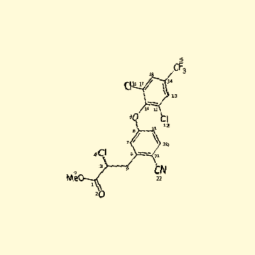 COC(=O)C(Cl)Cc1cc(Oc2c(Cl)cc(C(F)(F)F)cc2Cl)ccc1C#N